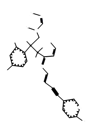 C\C=C/C(=N\C=C\C#Cc1ccc(P)nc1)C(F)(F)C(O)(CN(N)/C=N\N)c1ccc(F)cc1F